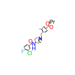 Cc1cc(C(=O)OC(C)C)ccc1CCN1CCC(NC(=O)c2ccc(F)c(Cl)c2)CC1